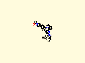 CC/C=C(/C=N\N(C)c1cccc(-c2cccc3c2N(Cc2ccc(C4CCN(C(=O)CC)CC4)cc2C)CC3)n1)C(=O)O